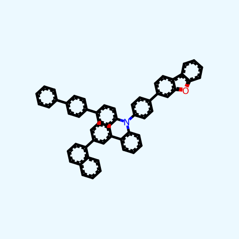 c1ccc(-c2ccc(-c3ccc(N(c4ccc(-c5ccc6c(c5)oc5ccccc56)cc4)c4ccccc4-c4cccc(-c5cccc6ccccc56)c4)cc3)cc2)cc1